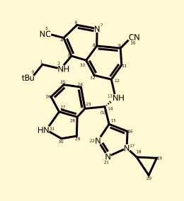 CC(C)(C)CNc1c(C#N)cnc2c(C#N)cc(N[C@H](c3cn(C4CC4)nn3)c3cccc4c3CCN4)cc12